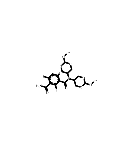 CCOC1OCC(N(C(=O)c2c(I)cc(I)c(C(N)=O)c2I)C2COC(OCC)OC2)CO1